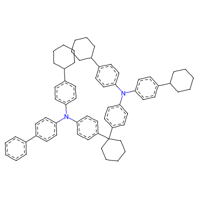 c1ccc(-c2ccc(N(c3ccc(C4CCCCC4)cc3)c3ccc(C4(c5ccc(N(c6ccc(C7CCCCC7)cc6)c6ccc(C7CCCCC7)cc6)cc5)CCCCC4)cc3)cc2)cc1